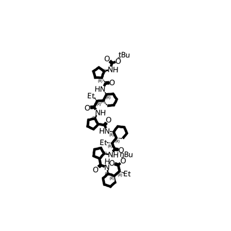 CCCCOC(=O)[C@H](CC)[C@H]1CCCC[C@H]1NC(=O)C1CCC[C@H]1NC(=O)[C@H](CC)[C@H]1CCCC[C@H]1NC(=O)C1CCC[C@H]1NC(=O)[C@H](CC)[C@H]1CCCC[C@H]1NC(=O)[C@@H]1CCC[C@H]1NC(=O)OC(C)(C)C